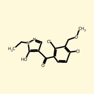 CCn1ncc(C(=O)c2ccc(Cl)c(COC)c2Cl)c1O